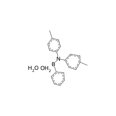 Cc1ccc(N([B]c2ccccc2)c2ccc(C)cc2)cc1.O.O